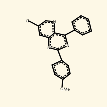 COc1ccc(-c2nc(-c3ccccc3)c3ncc(Cl)cc3n2)cc1